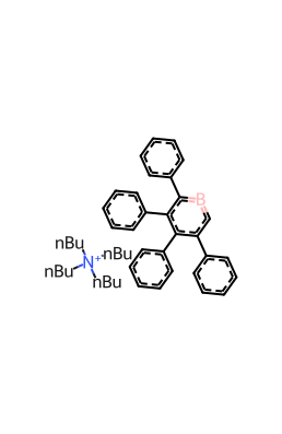 CCCC[N+](CCCC)(CCCC)CCCC.b1cc(-c2ccccc2)c(-c2ccccc2)c(-c2ccccc2)c1-c1ccccc1